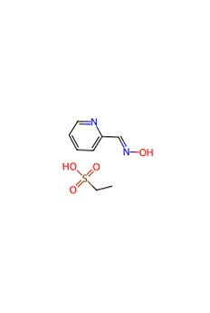 CCS(=O)(=O)O.ON=Cc1ccccn1